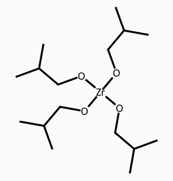 CC(C)C[O][Zr]([O]CC(C)C)([O]CC(C)C)[O]CC(C)C